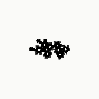 Cc1cccc2c3ccccc3n(-c3cccc(-c4cc(C#N)cc(-c5ccccc5-n5c6ccc(C#N)cc6c6c(C#N)cccc65)c4)c3)c12